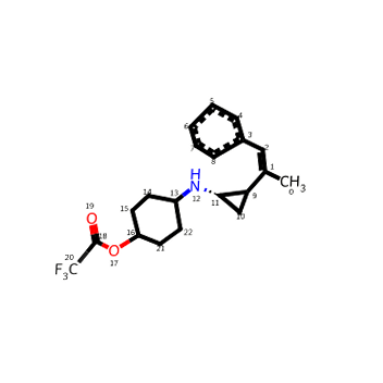 CC(=Cc1ccccc1)C1C[C@@H]1NC1CCC(OC(=O)C(F)(F)F)CC1